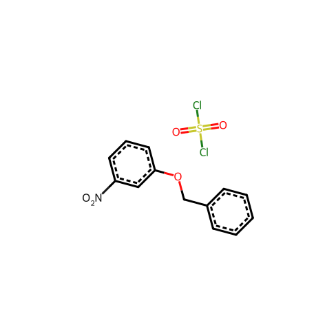 O=S(=O)(Cl)Cl.O=[N+]([O-])c1cccc(OCc2ccccc2)c1